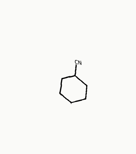 N#CC1CC[CH]CC1